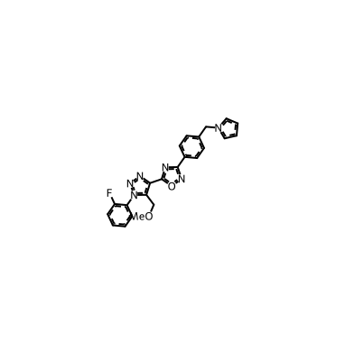 COCc1c(-c2nc(-c3ccc(Cn4cccc4)cc3)no2)nnn1-c1ccccc1F